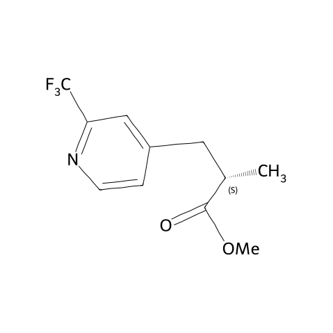 COC(=O)[C@@H](C)Cc1ccnc(C(F)(F)F)c1